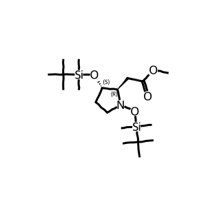 COC(=O)C[C@@H]1[C@@H](O[Si](C)(C)C(C)(C)C)CCN1O[Si](C)(C)C(C)(C)C